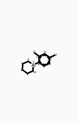 Cc1cc[c]([Al]2[CH2]CCC[CH2]2)c(C)c1